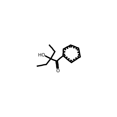 CCC(O)(CC)C(=O)c1ccccc1